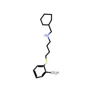 O=C(O)c1ccccc1SCCCCNCC1CCCCC1